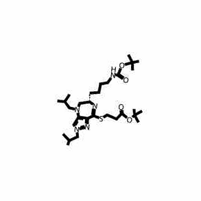 CC(C)CN1C[C@H](CCCCNC(=O)OC(C)(C)C)N=C(SCCC(=O)OC(C)(C)C)c2nn(CC(C)C)cc21